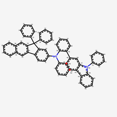 c1ccc(N(c2ccc3c(c2)C(c2ccccc2)(c2ccccc2)c2cc4ccccc4cc2-3)c2ccccc2-c2ccc3c4ccccc4n(-c4ccccc4)c3c2)cc1